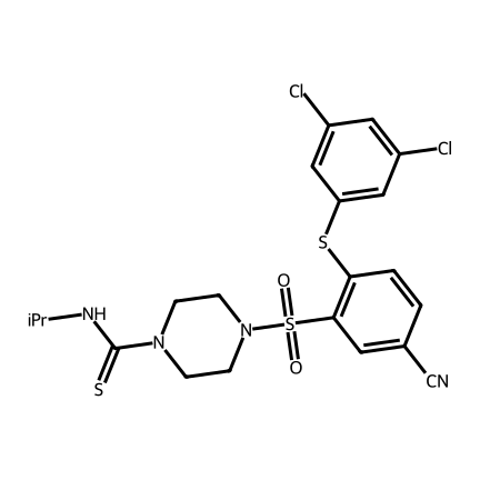 CC(C)NC(=S)N1CCN(S(=O)(=O)c2cc(C#N)ccc2Sc2cc(Cl)cc(Cl)c2)CC1